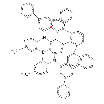 Cc1ccc2c(c1)B1c3cc(C)ccc3N(c3cc(-c4ccccc4)cc(-c4ccccc4)c3)c3cc(-c4c(-c5ccccc5)cccc4-c4ccccc4)cc(c31)N2c1cc(-c2ccccc2)cc(-c2ccccc2)c1